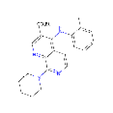 CCOC(=O)c1cnc2c(N3CCCCC3)nccc2c1Nc1ccccc1C